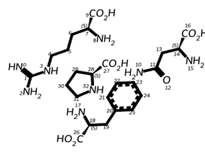 N=C(N)NCCC[C@H](N)C(=O)O.NC(=O)C[C@H](N)C(=O)O.N[C@@H](Cc1ccccc1)C(=O)O.O=C(O)[C@@H]1CCCN1